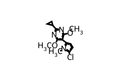 COc1nc(C2CC2)nc(OC)c1-c1ccc(Cl)n1C